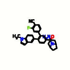 Cn1ccc2cc(-c3ccc(C(=O)N4C5CCC4CC(N)C5)cc3-c3ccc(C#N)c(F)c3)ccc21